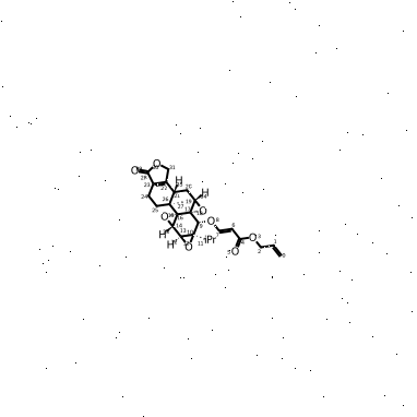 C=CCOC(=O)/C=C/O[C@@H]1[C@@]2(C(C)C)O[C@H]2[C@@H]2O[C@]23[C@]12O[C@H]2C[C@H]1C2=C(CC[C@@]13C)C(=O)OC2